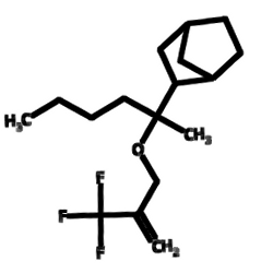 C=C(COC(C)(CCCC)C1CC2CCC1C2)C(F)(F)F